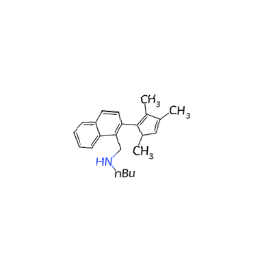 CCCCNCc1c(C2=C(C)C(C)=CC2C)ccc2ccccc12